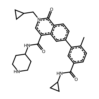 Cc1ccc(C(=O)NC2CC2)cc1-c1ccc2c(=O)n(CC3CC3)cc(C(=O)NC3CCNCC3)c2c1